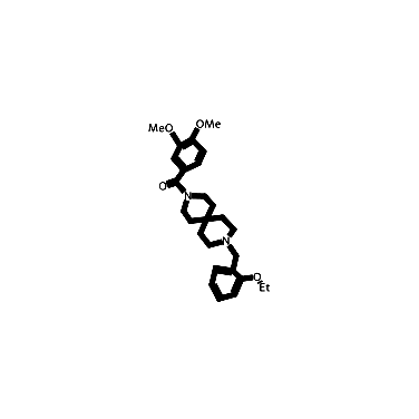 CCOc1ccccc1CN1CCC2(CC1)CCN(C(=O)c1ccc(OC)c(OC)c1)CC2